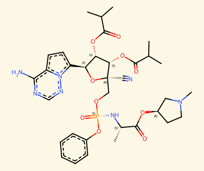 CC(C)C(=O)O[C@H]1[C@H](c2ccc3c(N)ncnn23)O[C@](C#N)(CO[P@@](=O)(N[C@@H](C)C(=O)O[C@@H]2CCN(C)C2)Oc2ccccc2)[C@H]1OC(=O)C(C)C